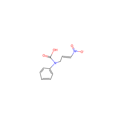 O=C(O)N(CC=C[N+](=O)[O-])c1ccccc1